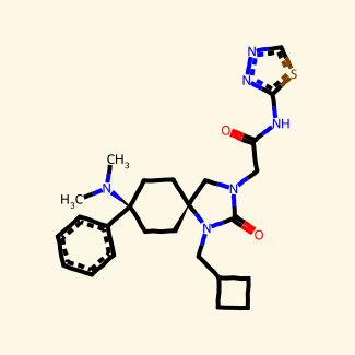 CN(C)[C@]1(c2ccccc2)CC[C@@]2(CC1)CN(CC(=O)Nc1nncs1)C(=O)N2CC1CCC1